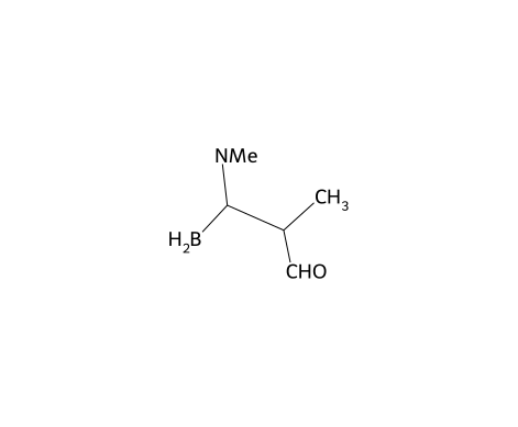 BC(NC)C(C)C=O